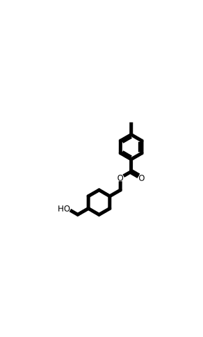 Cc1ccc(C(=O)OCC2CCC(CO)CC2)cc1